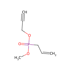 C#CCOP(=O)(CC=C)OC